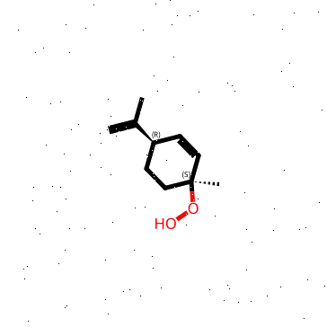 C=C(C)[C@H]1C=C[C@@](C)(OO)CC1